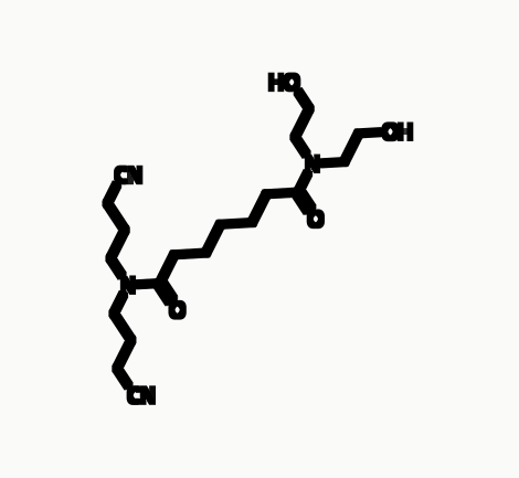 N#CCCCN(CCCC#N)C(=O)CCCCCC(=O)N(CCO)CCO